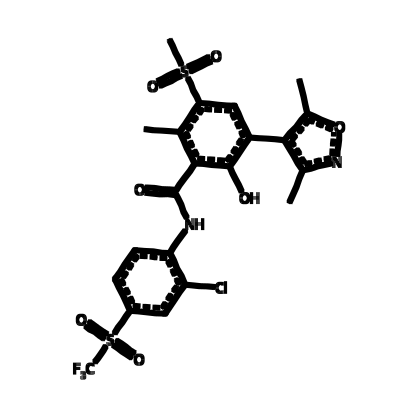 Cc1noc(C)c1-c1cc(S(C)(=O)=O)c(C)c(C(=O)Nc2ccc(S(=O)(=O)C(F)(F)F)cc2Cl)c1O